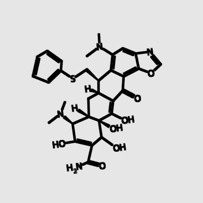 CN(C)c1cc2ncoc2c2c1[C@H](CSc1ccccc1)[C@H]1C[C@H]3[C@H](N(C)C)C(O)=C(C(N)=O)C(O)[C@@]3(O)C(O)=C1C2=O